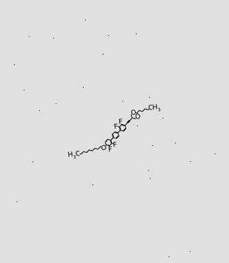 CCCCCCCCCOc1ccc(-c2ccc(-c3ccc(C#CC4COC(CCCCC)OC4)c(F)c3F)cc2)c(F)c1F